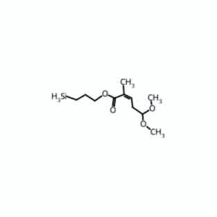 COC(CC=C(C)C(=O)OCCC[SiH3])OC